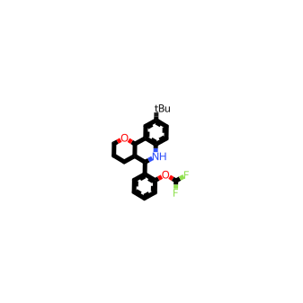 CC(C)(C)c1ccc2c(c1)C1OCCCC1C(c1ccccc1OC(F)F)N2